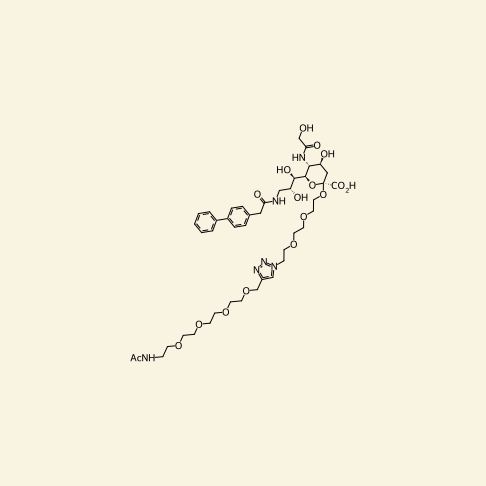 CC(=O)NCCOCCOCCOCCOCc1cn(CCOCCOCCO[C@]2(C(=O)O)C[C@H](O)[C@@H](NC(=O)CO)[C@H]([C@H](O)[C@H](O)CNC(=O)Cc3ccc(-c4ccccc4)cc3)O2)nn1